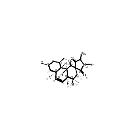 CCC(C)C1C(=O)C2(C(=O)[C@H]3[C@@H]4[C@H](C)C[C@H](C)C[C@@H]4C=C[C@@H]3[C@](C)(O)[C@H]2C)C(=O)N1C